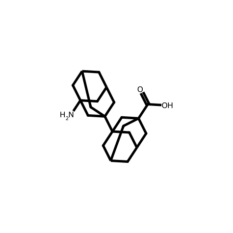 NC12CC3CC(C1)CC(C14CC5CC(CC(C(=O)O)(C5)C1)C4)(C3)C2